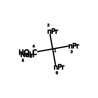 CCCC(CCC)(CCC)C(=O)O.[NaH]